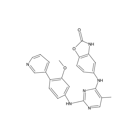 COc1cc(Nc2ncc(C)c(Nc3ccc4oc(=O)[nH]c4c3)n2)ccc1-c1cccnc1